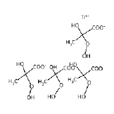 CC(O)(OO)C(=O)[O-].CC(O)(OO)C(=O)[O-].CC(O)(OO)C(=O)[O-].CC(O)(OO)C(=O)[O-].[Ti+4]